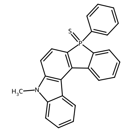 Cn1c2ccccc2c2c3c(ccc21)P(=S)(c1ccccc1)c1ccccc1-3